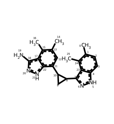 Cc1ccc2[nH]nc(C3CC3c3cc(C)c(C)c4c(N)n[nH]c34)c2c1C